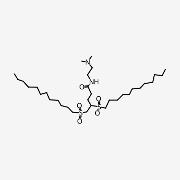 CCCCCCCCCCCCS(=O)(=O)CC(CCC(=O)NCCN(C)C)S(=O)(=O)CCCCCCCCCCCC